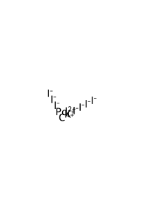 [C+4].[I-].[I-].[I-].[I-].[I-].[I-].[I-].[K+].[Pd+2]